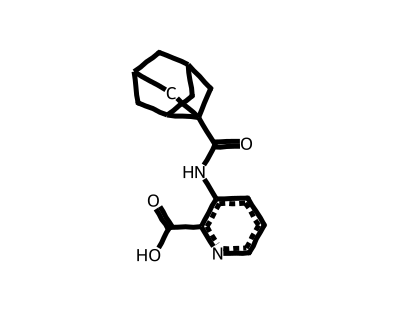 O=C(O)c1ncccc1NC(=O)C12CC3CC(CC1C3)C2